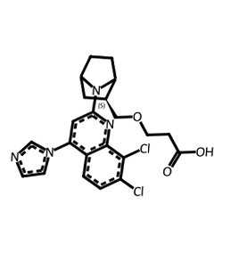 O=C(O)CCOC[C@H]1CC2CCC1N2c1cc(-n2ccnc2)c2ccc(Cl)c(Cl)c2n1